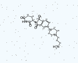 NCCCN1CCN(c2ccc3c(c2)C(=O)N(C2CCC(=O)NC2=O)C3=O)CC1